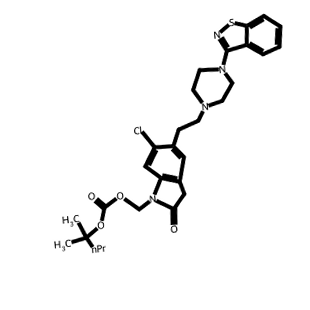 CCCC(C)(C)OC(=O)OCN1C(=O)Cc2cc(CCN3CCN(c4nsc5ccccc45)CC3)c(Cl)cc21